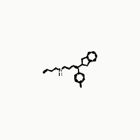 C=CCCNCCC=C(c1ccc(C)cc1)C1Cc2ccccc2C1